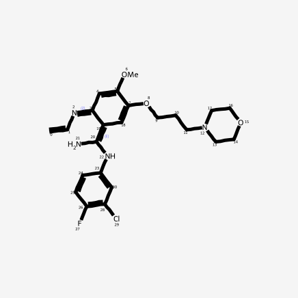 C=C/N=C1/C=C(OC)C(OCCCN2CCOCC2)=C/C1=C(/N)Nc1ccc(F)c(Cl)c1